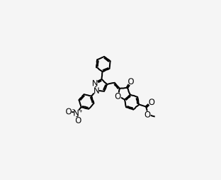 COC(=O)c1ccc2c(c1)C(=O)/C(=C/c1cn(-c3ccc([N+](=O)[O-])cc3)nc1-c1ccccc1)O2